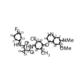 CNc1cc2nccc(Oc3cc(Cl)c(NC(=O)C4(C(=O)Nc5ccc(F)cc5)CC4)cc3C)c2cc1OC